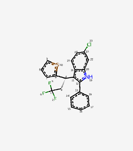 FC(F)(F)C[C@H](c1cccs1)c1c(-c2ccccc2)[nH]c2cc(Cl)ccc12